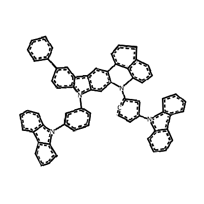 c1ccc(-c2ccc3c(c2)c2cc4c(cc2n3-c2cccc(-n3c5ccccc5c5ccccc53)c2)N(c2cccc(-n3c5ccccc5c5ccccc53)c2)c2cccc3cccc-4c23)cc1